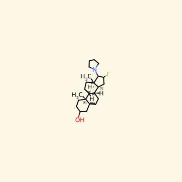 C[C@]12CCC(O)CC1=CC[C@@H]1[C@H]2CC[C@]2(C)C(N3CCCC3)C(F)C[C@@H]12